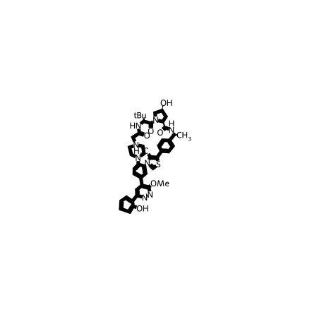 COc1nnc(-c2ccccc2O)cc1-c1ccc(N2CCN(CC(=O)N[C@H](C(=O)N3C[C@H](O)C[C@H]3C(=O)N[C@@H](C)c3ccc(-c4scnc4C)cc3)C(C)(C)C)CC2)cc1